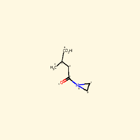 CC(CC(=O)N1CC1)C(=O)O